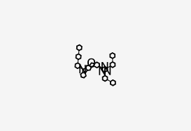 c1ccc(-c2ccc(-c3cccc(-n4c5ccccc5c5cc6c(cc54)oc4ccc(-c5nc(-c7cccc(-c8ccccc8)c7)nc(-c7cccc(-c8ccccc8)c7)n5)cc46)c3)cc2)cc1